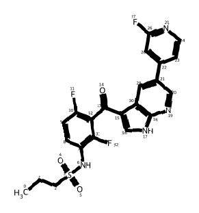 CCCS(=O)(=O)Nc1ccc(F)c(C(=O)c2c[nH]c3ncc(-c4ccnc(F)c4)cc23)c1F